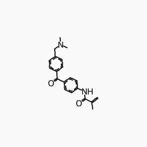 C=C(C)C(=O)Nc1ccc(C(=O)c2ccc(CN(C)C)cc2)cc1